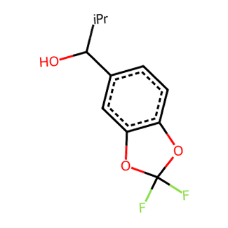 CC(C)C(O)c1ccc2c(c1)OC(F)(F)O2